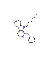 CCCCCCn1c2ccccc2c2ccnc(Cc3ccccc3)c21